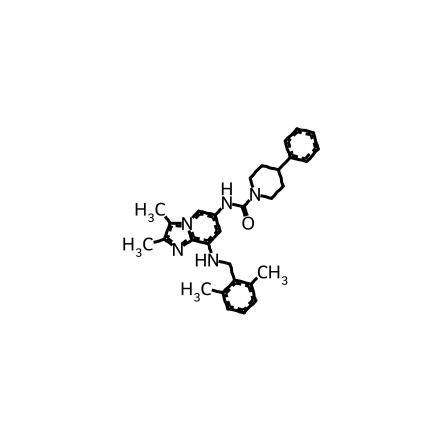 Cc1cccc(C)c1CNc1cc(NC(=O)N2CCC(c3ccccc3)CC2)cn2c(C)c(C)nc12